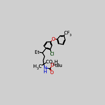 CCC(CCC(C)(NC(=O)OC(C)(C)C)C(=O)O)c1ccc(Oc2cccc(C(F)(F)F)c2)cc1Cl